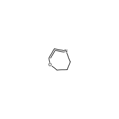 C1=COCCCN=1